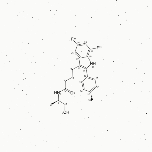 C[C@H](CO)NC(=O)CCCc1c(-c2ccc(F)cc2)[nH]c2c(F)cc(F)cc12